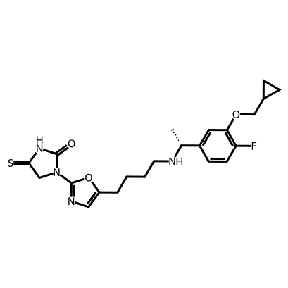 C[C@@H](NCCCCc1cnc(N2CC(=S)NC2=O)o1)c1ccc(F)c(OCC2CC2)c1